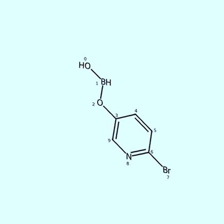 OBOc1ccc(Br)nc1